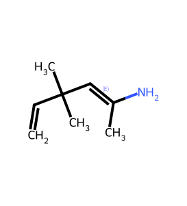 C=CC(C)(C)/C=C(\C)N